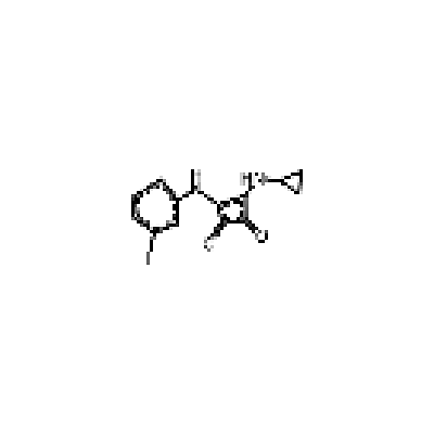 O=c1c(Nc2cccc(I)c2)c(NC2CC2)c1=O